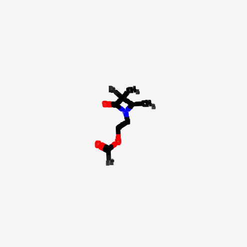 CCC(=O)OCCN1C(=O)C(C)(CC)C1C